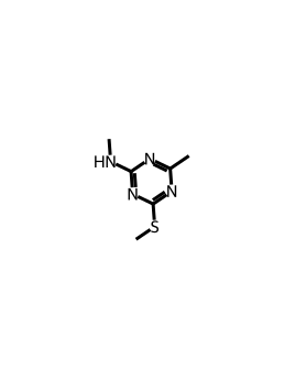 CNc1nc(C)nc(SC)n1